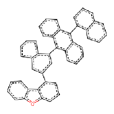 c1ccc2c(-c3c4ccccc4c(-c4cc(-c5cccc6oc7ccccc7c56)cc5ccccc45)c4ccccc34)cccc2c1